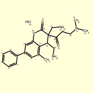 Cc1cc(-c2ccccc2)cc2c1C(CN)C(CN)(C(=O)CCN(C)C)C(=O)O2.Cl